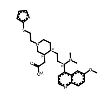 COc1ccc2nccc([C@@H](CC[C@@H]3CCN(CCSc4cccs4)C[C@@H]3CC(=O)O)N(C)C)c2c1